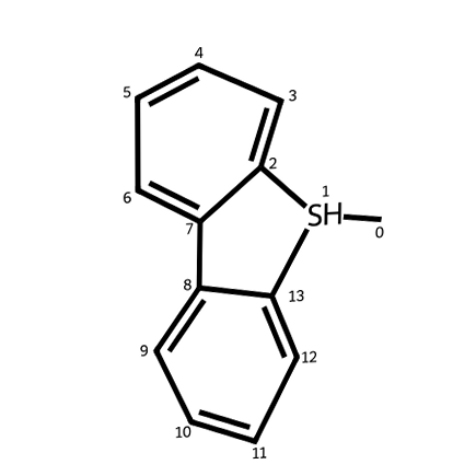 C[SH]1c2ccccc2-c2ccccc21